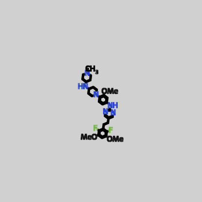 COc1cc(Nc2ncc(CCc3c(F)c(OC)cc(OC)c3F)cn2)ccc1N1CCC(NC2CCN(C)CC2)CC1